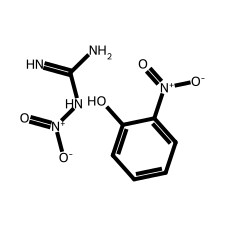 N=C(N)N[N+](=O)[O-].O=[N+]([O-])c1ccccc1O